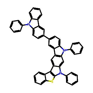 c1ccc(-n2c3ccccc3c3cc(-c4ccc5c(c4)c4cc6c7c8ccccc8sc7n(-c7ccccc7)c6cc4n5-c4ccccc4)ccc32)cc1